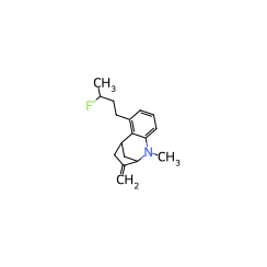 C=C1CC2CC1N(C)c1cccc(CCC(C)F)c12